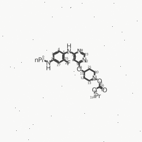 CCCNc1ccc(Nc2cc(OC3CCN(OC(=O)OC(C)C)CC3)ncn2)c(F)c1